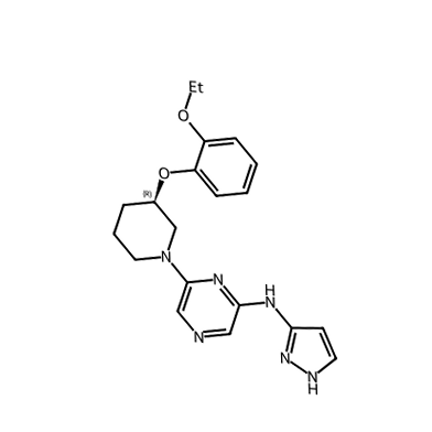 CCOc1ccccc1O[C@@H]1CCCN(c2cncc(Nc3cc[nH]n3)n2)C1